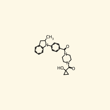 CC1Cc2ccccc2N1c1ccc(C(=O)N2CCN(C(=O)C3(O)CC3)CC2)cc1